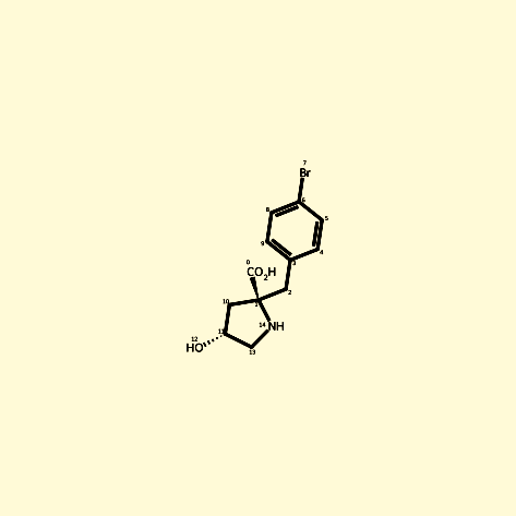 O=C(O)[C@]1(Cc2ccc(Br)cc2)C[C@@H](O)CN1